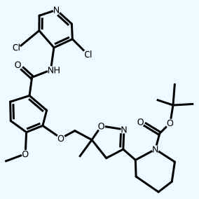 COc1ccc(C(=O)Nc2c(Cl)cncc2Cl)cc1OCC1(C)CC(C2CCCCN2C(=O)OC(C)(C)C)=NO1